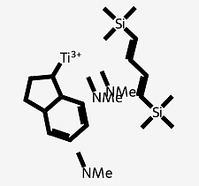 C[N-]C.C[N-]C.C[N-]C.C[Si](C)(C)C=CC=C[Si](C)(C)C.[Ti+3][CH]1CCC2C=CC=CC12